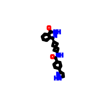 O=C(N[C@H]1CC2(C1)C[C@H](c1n[nH]c(=O)c3ccccc31)C2)c1ccc(-c2cc[nH]n2)cc1